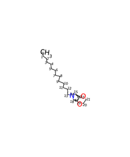 CCCCCCCCCCCCCCn1cc2c(c1)OCCO2